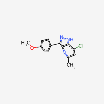 COc1ccc(-c2n[nH]c3c(Cl)cc(C)nc23)cc1